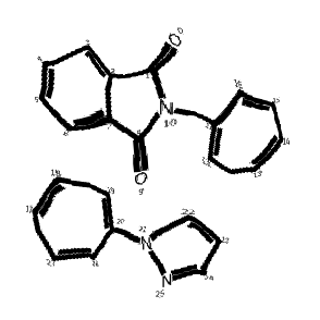 O=C1c2ccccc2C(=O)N1c1ccccc1.c1ccc(-n2cccn2)cc1